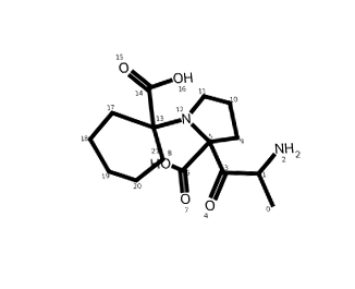 CC(N)C(=O)C1(C(=O)O)CCCN1C1(C(=O)O)CCCCC1